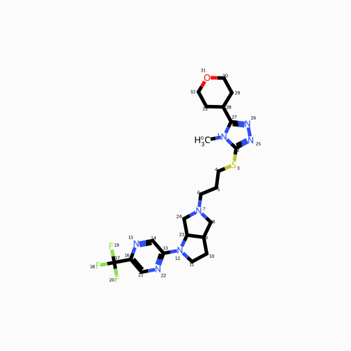 Cn1c(SCCCN2CC3CCN(c4cnc(C(F)(F)F)cn4)C3C2)nnc1C1CCOCC1